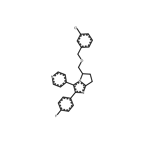 Fc1ccc(-c2nc3n(c2-c2ccncc2)C(COCc2cccc(Cl)c2)CC3)cc1